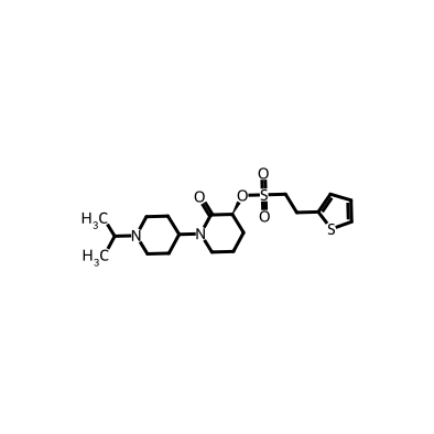 CC(C)N1CCC(N2CCC[C@H](OS(=O)(=O)CCc3cccs3)C2=O)CC1